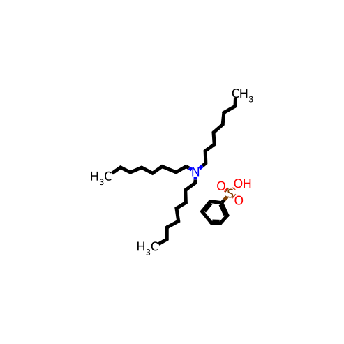 CCCCCCCCN(CCCCCCCC)CCCCCCCC.O=S(=O)(O)c1ccccc1